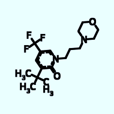 CC(C)(C)c1cc(C(F)(F)F)cn(CCCN2CCOCC2)c1=O